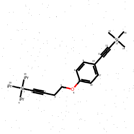 CC(C)[Si](C#CCCOc1ccc(C#C[Si](C)(C)C)cc1)(C(C)C)C(C)C